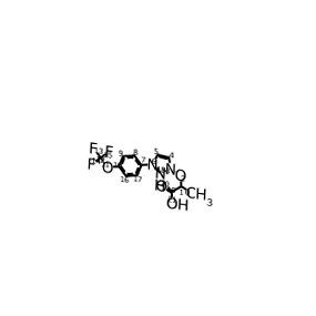 CC(ON1C=CN(c2ccc(OC(F)(F)F)cc2)N1)C(=O)O